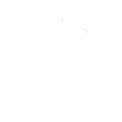 NC1=C(N)SC(=C2SC3=C(SC=CS3)S2)C1